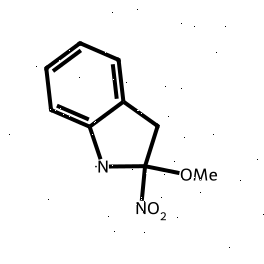 COC1([N+](=O)[O-])Cc2ccccc2[N]1